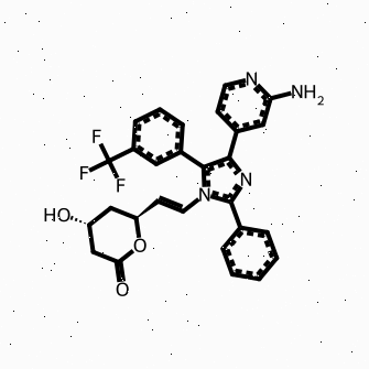 Nc1cc(-c2nc(-c3ccccc3)n(/C=C/[C@@H]3C[C@@H](O)CC(=O)O3)c2-c2cccc(C(F)(F)F)c2)ccn1